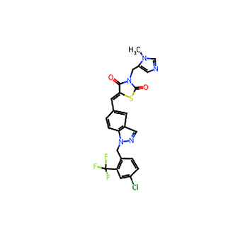 Cn1cncc1CN1C(=O)SC(=Cc2ccc3c(cnn3Cc3ccc(Cl)cc3C(F)(F)F)c2)C1=O